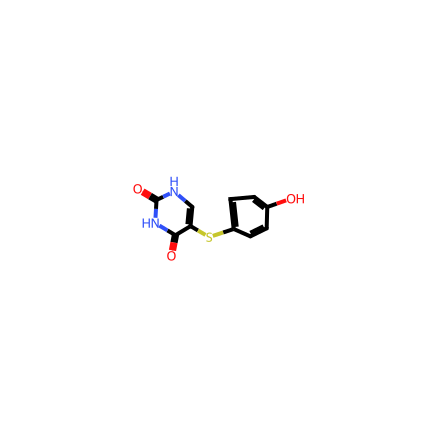 O=c1[nH]cc(Sc2ccc(O)cc2)c(=O)[nH]1